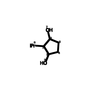 CC(C)C1C(O)CCC1O